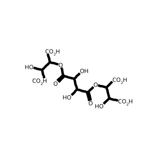 O=C(OC(C(=O)O)C(O)C(=O)O)C(O)C(O)C(=O)OC(C(=O)O)C(O)C(=O)O